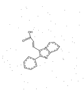 O=C(O)C=Cc1c(-c2ccccc2)nc2ccccn12